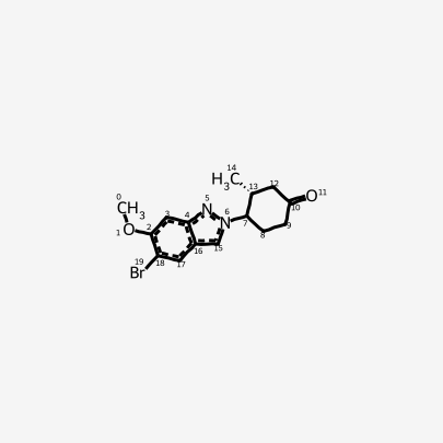 COc1cc2nn(C3CCC(=O)C[C@H]3C)cc2cc1Br